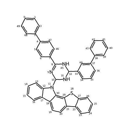 c1ccc(-c2ccc(C3=NC(n4c5ccccc5c5ccc6c7ccccc7sc6c54)NC(c4cccc(-c5ccccc5)c4)N3)cc2)cc1